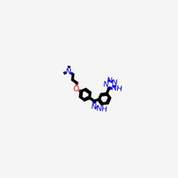 CN(C)CCCOc1ccc(-c2n[nH]c3ccc(-c4nnn[nH]4)cc23)cc1